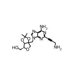 CC1(C)OC2[C@H](CO)OCC2(Cn2cnc3c(N)nc(C#CCN)nc32)O1